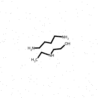 CCNCCO.NCCCCN